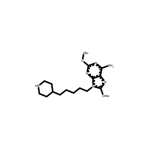 CCCCOc1nc(N)c2nc(OC)n(CCCCCC3CCNCC3)c2n1